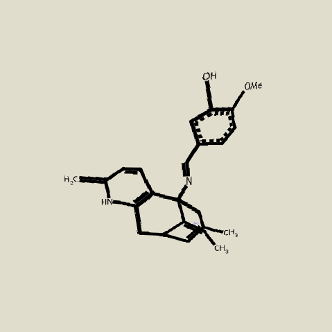 C=C1C=CC2=C(CC3C=C(C)CC2(N=Cc2ccc(OC)c(O)c2)/C3=C/C)N1